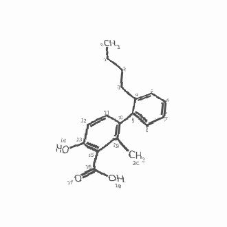 CCCCc1ccccc1-c1ccc(O)c(C(=O)O)c1C